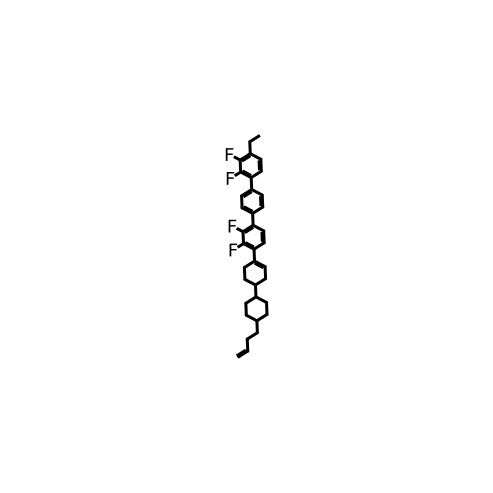 C=CCCC1CCC(C2CC=C(c3ccc(-c4ccc(-c5ccc(CC)c(F)c5F)cc4)c(F)c3F)CC2)CC1